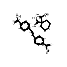 O=C(O)C1(C(=O)O)CCCCC1.O=C(O)c1ccc(C=Cc2ccc(C(=O)O)cc2)cc1